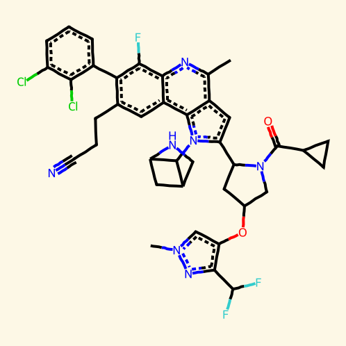 Cc1nc2c(F)c(-c3cccc(Cl)c3Cl)c(CCC#N)cc2c2c1cc(C1CC(Oc3cn(C)nc3C(F)F)CN1C(=O)C1CC1)n2C1C2CNC1C2